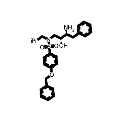 CC(C)CN(C[C@@H](O)[C@@H](N)Cc1ccccc1)S(=O)(=O)c1ccc(OCc2ccccc2)cc1